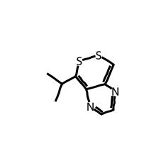 CC(C)C1=c2nccnc2=CSS1